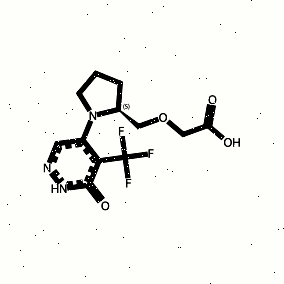 O=C(O)COC[C@@H]1CCCN1c1cn[nH]c(=O)c1C(F)(F)F